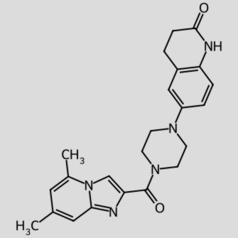 Cc1cc(C)n2cc(C(=O)N3CCN(c4ccc5c(c4)CCC(=O)N5)CC3)nc2c1